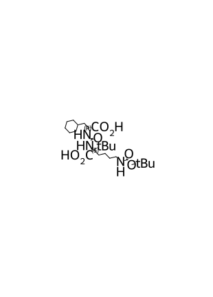 CC(C)(C)OC(=O)NCCCC[C@@](NC(=O)N[C@H](CC1CCCCC1)C(=O)O)(C(=O)O)C(C)(C)C